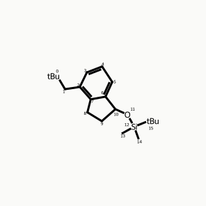 CC(C)(C)Cc1cccc2c1CCC2O[Si](C)(C)C(C)(C)C